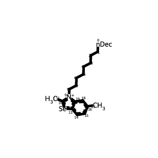 CCCCCCCCCCCCCCCCCC[n+]1c(C)[se]c2ccc(C)cc21